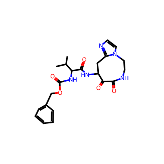 CC(C)C(NC(=O)OCc1ccccc1)C(=O)NC1Cc2nccn2CCNC(=O)C1=O